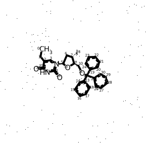 CCc1cn([C@H]2C[C@H](I)[C@@H](COC(c3ccccc3)(c3ccccc3)c3ccccc3)O2)c(=O)[nH]c1=O